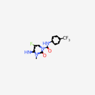 Cn1c(=N)c(F)cn(C(=O)Nc2ccc(C(F)(F)F)cc2)c1=O